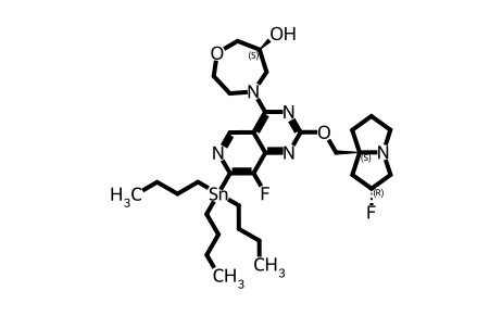 CCC[CH2][Sn]([CH2]CCC)([CH2]CCC)[c]1ncc2c(N3CCOC[C@@H](O)C3)nc(OC[C@@]34CCCN3C[C@H](F)C4)nc2c1F